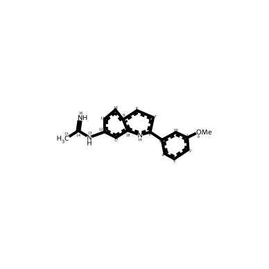 COc1cccc(-c2ccc3ccc(NC(C)=N)cc3n2)c1